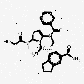 NC(=O)c1ccc2c(c1)CCC2.NCN1C(N(CC(=O)O)C(=O)c2ccccc2)=CSC1NC(=O)CO